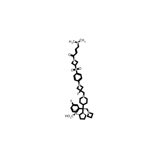 CN(C)C/C=C/C(=O)N1CC(S(=O)(=O)c2ccc(N3CC(F)(CN4CCC([C@@](CN5CCC5)(c5cccc(F)c5)[C@H]5CCC[C@@H]5NC(=O)O)CC4)C3)cc2)C1